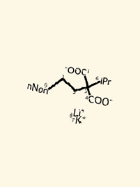 CCCCCCCCCCCC(C(=O)[O-])(C(=O)[O-])C(C)C.[K+].[Li+]